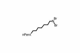 CCCCCCCCCCCCN(Br)Br